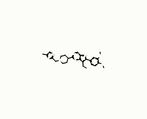 CCc1c(-c2ccc(OC)c(OC)c2)[nH]c2cnc(C3CCN(Cc4nc(C)c[nH]4)CC3)nc12